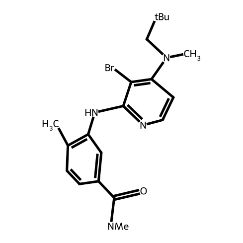 CNC(=O)c1ccc(C)c(Nc2nccc(N(C)CC(C)(C)C)c2Br)c1